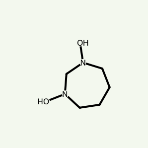 ON1CCCCN(O)C1